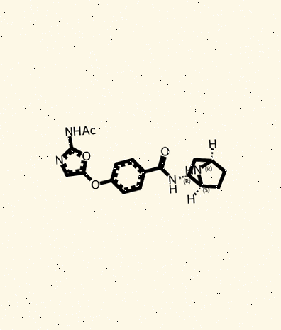 CC(=O)Nc1ncc(Oc2ccc(C(=O)N[C@@H]3C[C@H]4CC[C@@H]3N4)cc2)o1